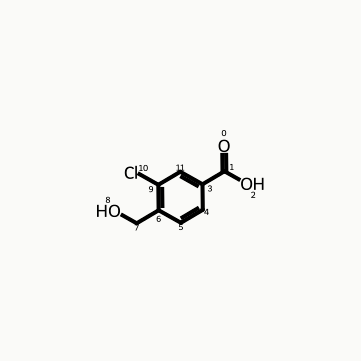 O=C(O)c1ccc(CO)c(Cl)c1